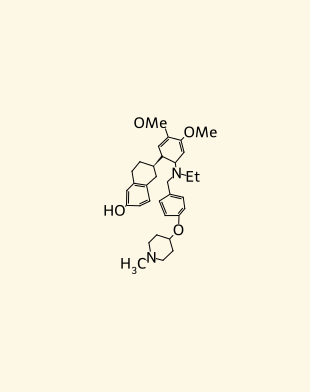 CCN(Cc1ccc(OC2CCN(C)CC2)cc1)C1C=C(OC)C(OC)=CC1[C@@H]1CCc2cc(O)ccc2C1